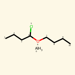 [AlH3].[CH2]CCC(Cl)OCCCC